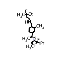 C=C/C(=N\C(=C)c1ccc(CNCCC(C)(F)CC)c(C)c1)C(F)(F)C(C)C